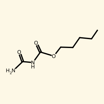 CCCCCOC(=O)NC(N)=O